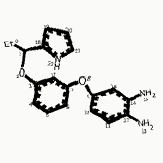 CCC(Oc1cccc(Oc2ccc(N)c(N)c2)c1)c1ccc[nH]1